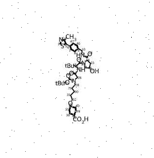 Cc1ncsc1-c1ccc(CNC(=O)[C@@H]2C[C@@H](O)CN2C(=O)C(NC(=O)CN(CCCCCOc2ccc(C(=O)O)cc2)C(=O)OC(C)(C)C)C(C)(C)C)cc1